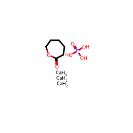 O=C1CCCCCO1.O=P(O)(O)O.[CaH2].[CaH2].[CaH2]